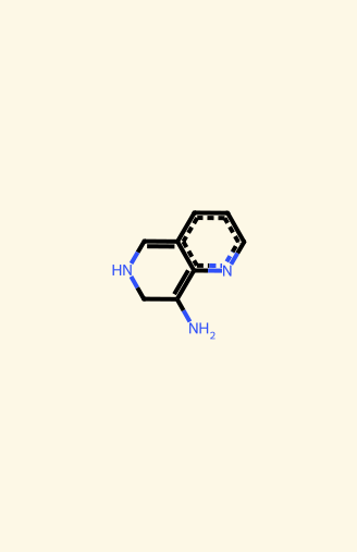 NC1=c2ncccc2=CNC1